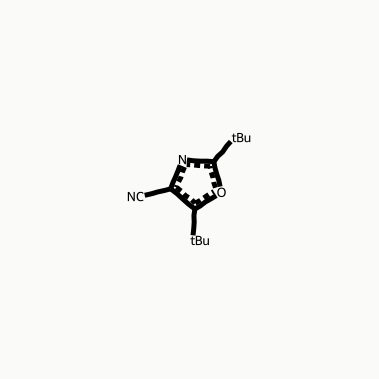 CC(C)(C)c1nc(C#N)c(C(C)(C)C)o1